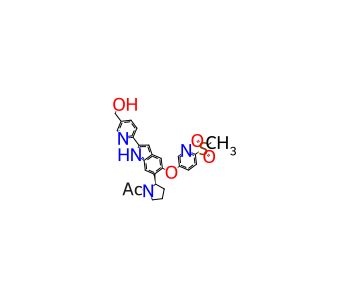 CC(=O)N1CCC[C@@H]1c1cc2[nH]c(-c3ccc(CO)cn3)cc2cc1Oc1ccc(S(C)(=O)=O)nc1